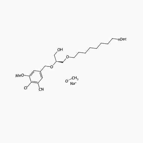 CCCCCCCCCCCCCCCCCCOC[C@H](CO)OCc1cc(C#N)c(Cl)c(OC)c1.C[O-].[Na+]